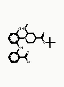 CNC1CC(C(=O)OC(C)(C)C)CCN1c1c(Cl)cccc1Nc1ccccc1C(=O)O